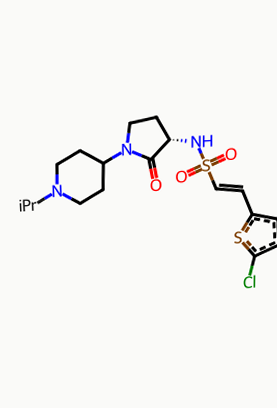 CC(C)N1CCC(N2CC[C@H](NS(=O)(=O)/C=C/c3ccc(Cl)s3)C2=O)CC1